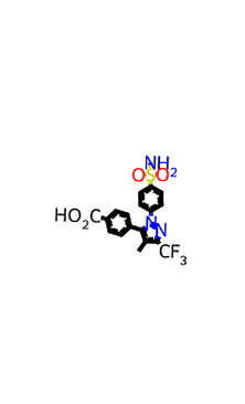 Cc1c(C(F)(F)F)nn(-c2ccc(S(N)(=O)=O)cc2)c1-c1ccc(C(=O)O)cc1